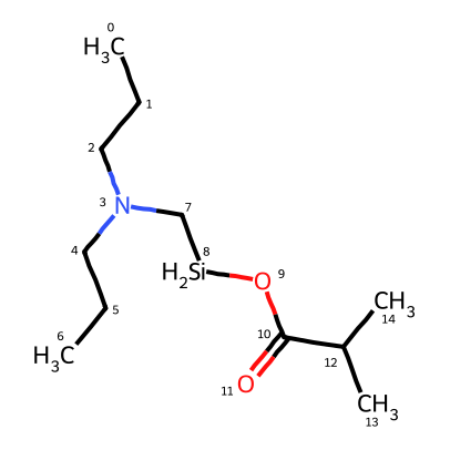 CCCN(CCC)C[SiH2]OC(=O)C(C)C